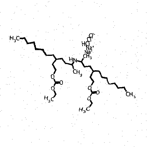 CCCCCCCCC(CCOC(=O)OCC)CCC(C)NC(C)CCC(CCCCCCCC)CCOC(=O)OCC.Cl.[Cl-].[Cl-].[Na+].[Na+]